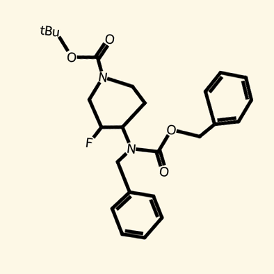 CC(C)(C)OC(=O)N1CCC(N(Cc2ccccc2)C(=O)OCc2ccccc2)C(F)C1